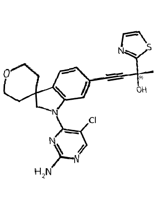 C[C@@](O)(C#Cc1ccc2c(c1)N(c1nc(N)ncc1Cl)CC21CCOCC1)c1nccs1